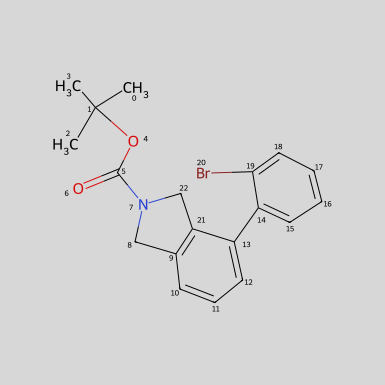 CC(C)(C)OC(=O)N1Cc2cccc(-c3ccccc3Br)c2C1